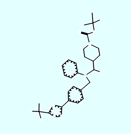 CC(C)(C)OC(=O)N1CCC(C(O)N(Cc2ccc(-c3nnc(C(F)(F)F)o3)cc2)c2ccccc2)CC1